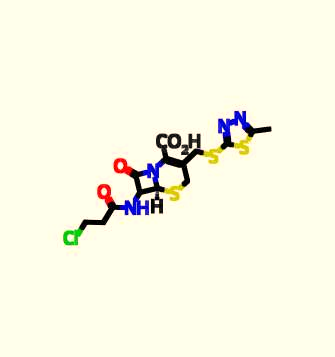 Cc1nnc(SCC2=C(C(=O)O)N3C(=O)C(NC(=O)CCCl)[C@@H]3SC2)s1